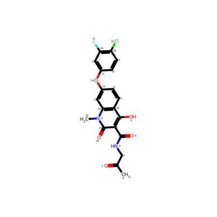 CC(=O)CNC(=O)c1c(O)c2ccc(Oc3ccc(Cl)c(F)c3)cc2n(C)c1=O